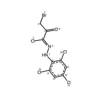 O=C(CBr)C(Cl)=NNc1c(Cl)cc(Cl)cc1Cl